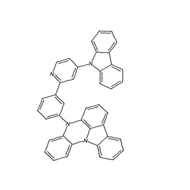 c1cc(-c2cc(-n3c4ccccc4c4ccccc43)ccn2)cc(N2c3ccccc3-n3c4ccccc4c4cccc2c43)c1